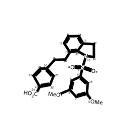 COc1cc(OC)cc(S(=O)(=O)N2CCc3cccc(CCc4ccc(C(=O)O)cc4)c32)c1